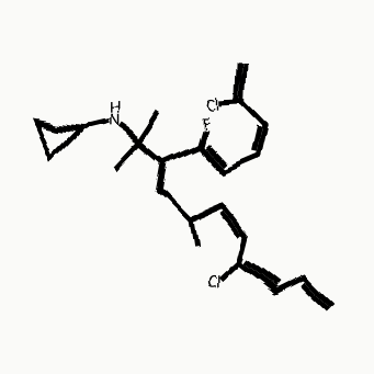 C=C/C=C(Cl)\C=C/C(C)CC(/C(F)=C/C=C\C(=C)Cl)C(C)(C)NC1CC1